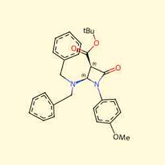 COc1ccc(N2C(=O)[C@H](C(=O)OC(C)(C)C)[C@@H]2N(Cc2ccccc2)Cc2ccccc2)cc1